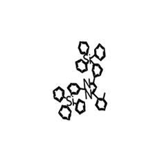 Cc1ccccc1-c1cc(-c2cccc([Si](c3ccccc3)(c3ccccc3)c3ccccc3)c2)nc(-c2cccc([Si](c3ccccc3)(c3ccccc3)c3ccccc3)c2)n1